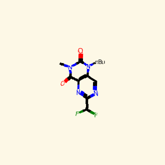 CCCCn1c(=O)n(C)c(=O)c2nc(C(F)F)ncc21